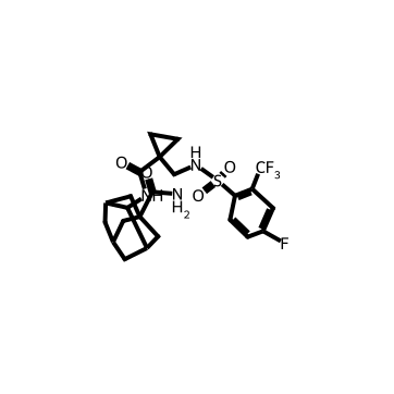 NC(=O)C12CC3CC(C1)C(NC(=O)C1(CNS(=O)(=O)c4ccc(F)cc4C(F)(F)F)CC1)C(C3)C2